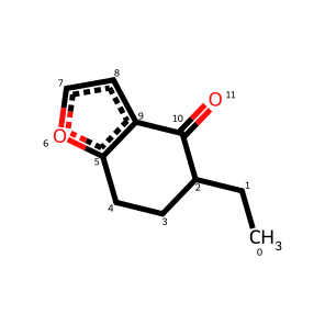 CCC1CCc2occc2C1=O